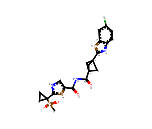 CS(=O)(=O)C1(c2ncc(C(=O)NC(=O)C34CC(c5nc6ccc(Cl)cc6s5)(C3)C4)s2)CC1